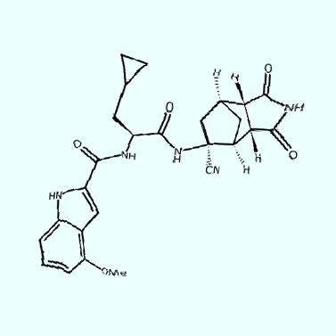 COc1cccc2[nH]c(C(=O)N[C@@H](CC3CC3)C(=O)N[C@@]3(C#N)C[C@@H]4C[C@H]3[C@H]3C(=O)NC(=O)[C@@H]43)cc12